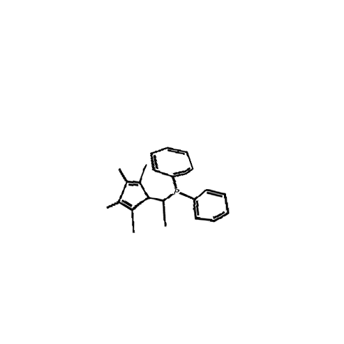 CC1=C(C)C(C(C)P(c2ccccc2)c2ccccc2)C(C)=C1C